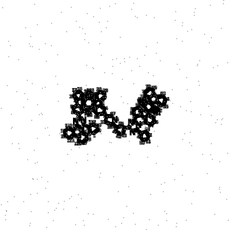 c1ccc(-c2nc(-c3ccc4c(c3)C3(c5ccccc5-4)c4ccccc4C4(c5ccccc5-c5cc(-c6ccc(-c7cccc(-c8nc(-c9ccccc9)nc(-c9cccc%10c9-c9ccccc9C%109c%10ccccc%10C%10(c%11ccccc%11-c%11ccccc%11%10)c%10ccccc%109)n8)c7)nc6)ccc54)c4ccccc43)nc(-c3ccccc3-c3ccccc3)n2)cc1